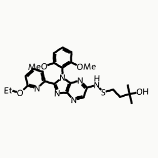 CCOc1cccc(-c2nc3ncc(NSCCC(C)(C)O)nc3n2-c2c(OC)cccc2OC)n1